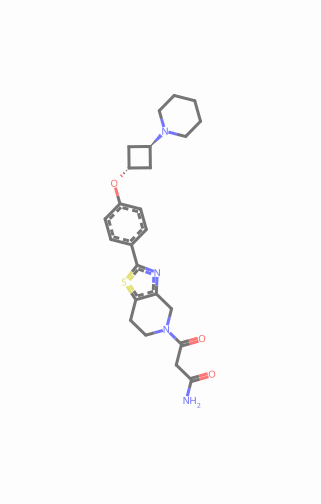 NC(=O)CC(=O)N1CCc2sc(-c3ccc(O[C@H]4C[C@H](N5CCCCC5)C4)cc3)nc2C1